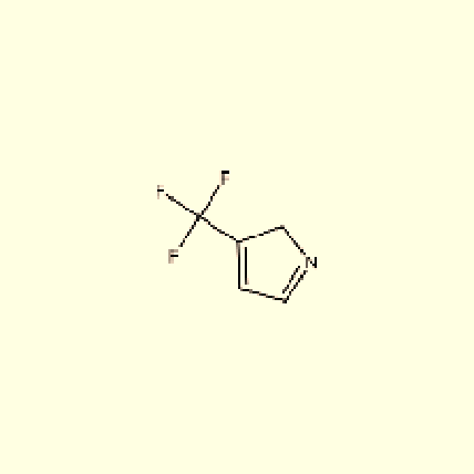 FC(F)(F)C1=CC=NC1